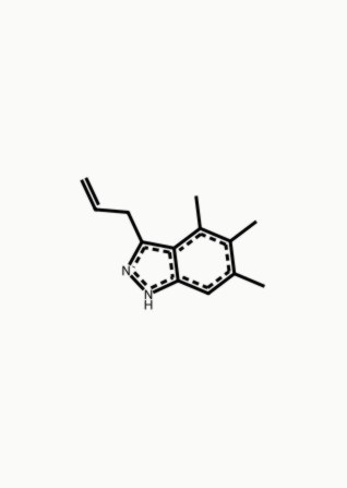 C=CCc1n[nH]c2cc(C)c(C)c(C)c12